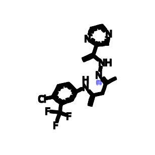 C=C(C/C(C)=N/NC(=C)c1cnccn1)Nc1ccc(Cl)c(C(F)(F)F)c1